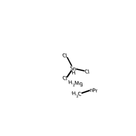 [CH2]CCC.[Cl][SnH]([Cl])[Cl].[MgH2]